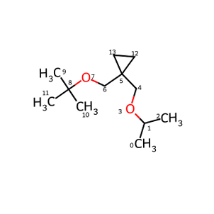 CC(C)OCC1(COC(C)(C)C)CC1